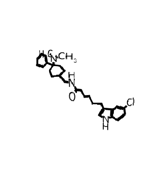 CN(C)C1(c2ccccc2)CCC(CNC(=O)CCCCCc2c[nH]c3ccc(Cl)cc23)CC1